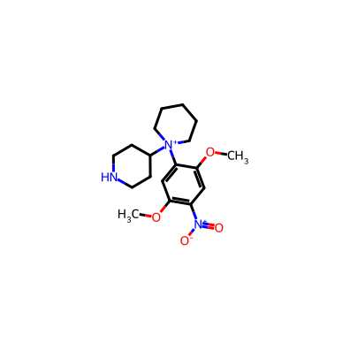 COc1cc([N+]2(C3CCNCC3)CCCCC2)c(OC)cc1[N+](=O)[O-]